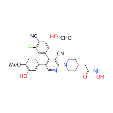 COc1ccc(-c2cnc(N3CCC(CC(=O)NO)CC3)c(C#N)c2-c2ccc(C#N)c(F)c2)cc1O.O=CO